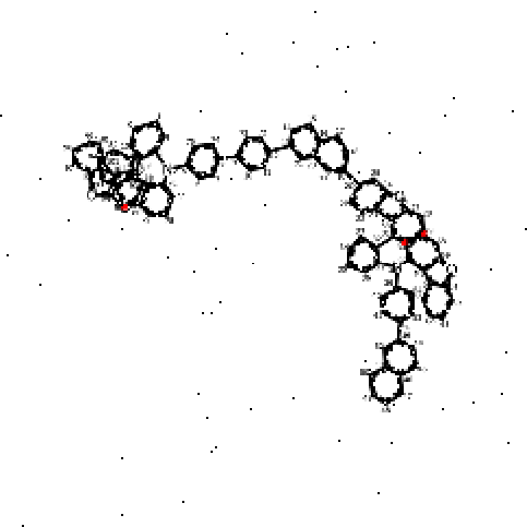 c1ccc(N(c2ccc(-c3ccc(-c4ccc5ccc(-c6ccc7c(c6)oc6cccc(-c8ccccc8N(c8ccc(-c9ccc%10ccccc%10c9)cc8)c8cccc9oc%10ccccc%10c89)c67)cc5c4)cc3)cc2)c2cccc3oc4ccccc4c23)c(-c2cccc3oc4ccccc4c23)c1